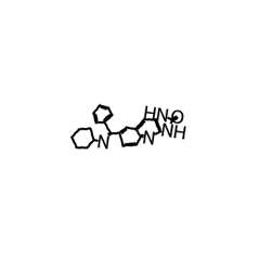 O=c1[nH]c2cc3cc(C(=NC4CCCCC4)c4ccccc4)ccc3nc2[nH]1